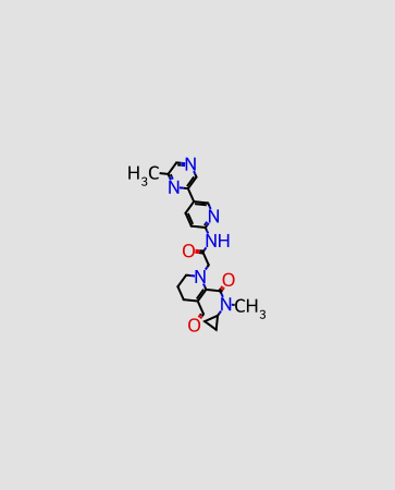 Cc1cncc(-c2ccc(NC(=O)CN3CCCC(C=O)=C3C(=O)N(C)C3CC3)nc2)n1